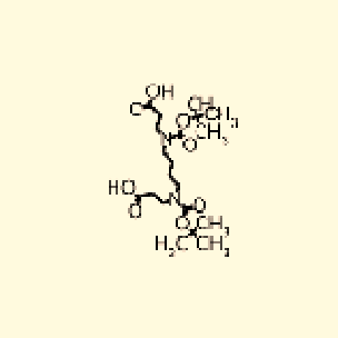 CC(C)(C)OC(=O)N(CCCCN(CCC(=O)O)C(=O)OC(C)(C)C)CCC(=O)O